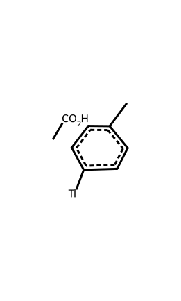 CC(=O)O.Cc1cc[c]([Tl])cc1